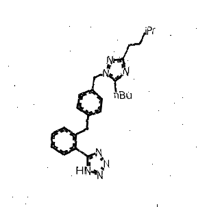 CCCCc1nc(CCC(C)C)nn1Cc1ccc(Cc2ccccc2-c2nnn[nH]2)cc1